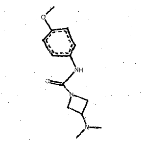 COc1ccc(NC(=O)N2CC(N(C)C)C2)cc1